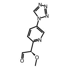 CO[C@@H](C=O)c1ccc(-n2cnnn2)cn1